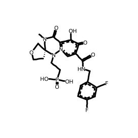 CN1C(=O)c2c(O)c(=O)c(C(=O)NCc3ccc(F)cc3F)cn2N(CCP(=O)(O)O)[C@]12CCOC2